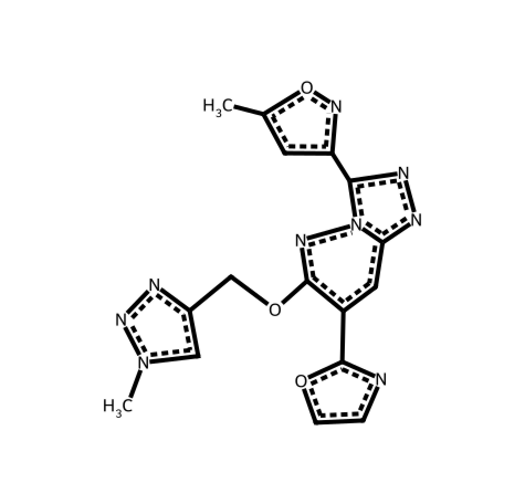 Cc1cc(-c2nnc3cc(-c4ncco4)c(OCc4cn(C)nn4)nn23)no1